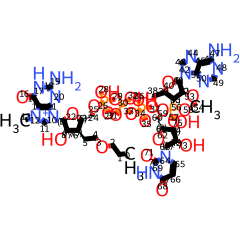 CCCOCC[C@H]1[C@@H](O)[C@H](n2c[n+](C)c3c(=O)[nH]c(N)nc32)O[C@@H]1COP(=O)(O)OP(=O)(O)OP(=O)(O)OCC1O[C@@H](n2cnc3c(N)ncnc32)[C@H](OC)[C@@H]1P(=O)([O-])OC[C@H]1O[C@@H](n2ccc(=O)[nH]c2=O)[C@H](O)[C@@H]1O